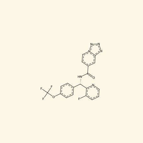 O=C(N[C@@H](c1ccc(OC(F)(F)F)cc1)c1ncccc1F)c1ccn2nnnc2c1